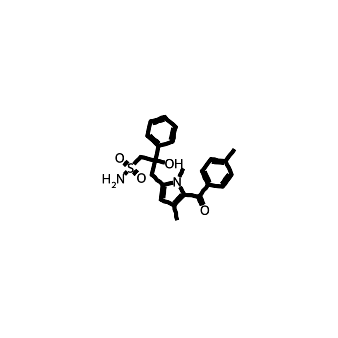 Cc1ccc(C(=O)c2c(C)cc(CC(O)(CS(N)(=O)=O)c3ccccc3)n2C)cc1